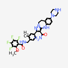 COc1c(F)c(F)c(F)c(F)c1C(=O)NCc1ccc(-c2nn3c(c2C(N)=O)Nc2ccc(N4CCNCC4)cc2CC3)cc1C